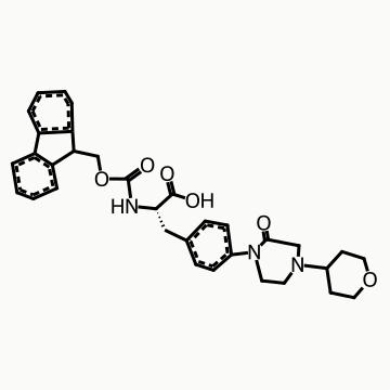 O=C(N[C@@H](Cc1ccc(N2CCN(C3CCOCC3)CC2=O)cc1)C(=O)O)OCC1c2ccccc2-c2ccccc21